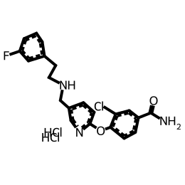 Cl.Cl.NC(=O)c1ccc(Oc2ccc(CNCCc3cccc(F)c3)cn2)c(Cl)c1